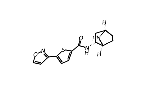 O=C(N[C@@H]1C[C@H]2CC[C@@H]1N2)c1ccc(-c2ccon2)s1